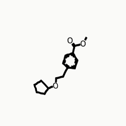 COC(=O)c1ccc(CCOC2CCCC2)cc1